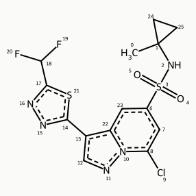 CC1(NS(=O)(=O)c2cc(Cl)n3ncc(-c4nnc(C(F)F)s4)c3c2)CC1